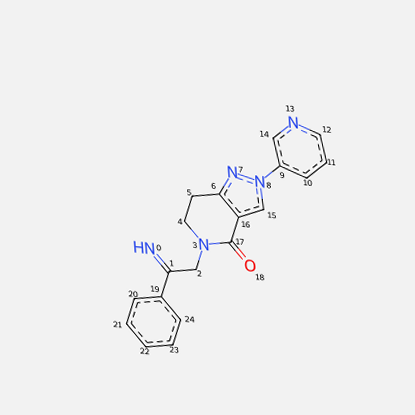 N=C(CN1CCc2nn(-c3cccnc3)cc2C1=O)c1ccccc1